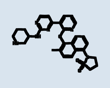 Cc1ccc2c(N3CCCS3(=O)=O)cccc2c1Oc1ncccc1-c1ccnc(NC2CCCNC2)n1